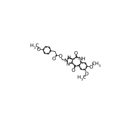 COc1ccc(CC(=O)OCn2nc3c(=O)[nH]c4cc(OC)c(OC)cc4c(=O)c3n2)cc1